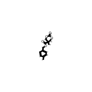 Cc1ccc(COC(=O)C2(C)COC(=O)OC2)cc1